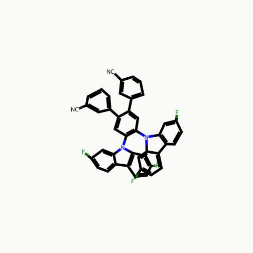 N#Cc1cccc(-c2cc(-n3c4cc(F)ccc4c4ccc(F)cc43)c(-n3c4cc(F)ccc4c4ccc(F)cc43)cc2-c2cccc(C#N)c2)c1